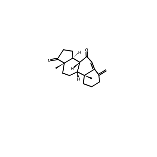 C=C1CCC[C@@]2(C)C1=CC(=O)[C@@H]1[C@H]2CC[C@]2(C)C(=O)CC[C@@H]12